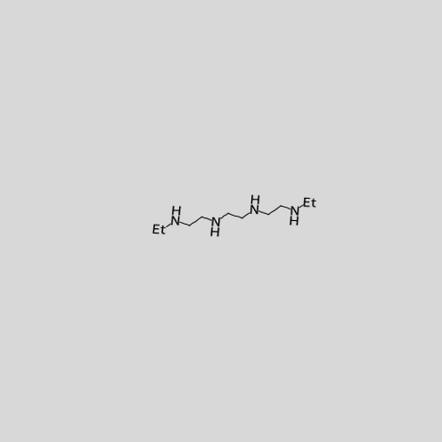 [CH2]CNCCNCCNCCNC[CH2]